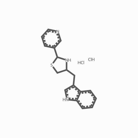 Cl.Cl.c1cncc(C2NC(Cc3c[nH]c4ccccc34)CS2)c1